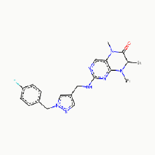 CCC1C(=O)N(C)c2cnc(NCc3cnn(Cc4ccc(F)cc4)c3)nc2N1C(C)C